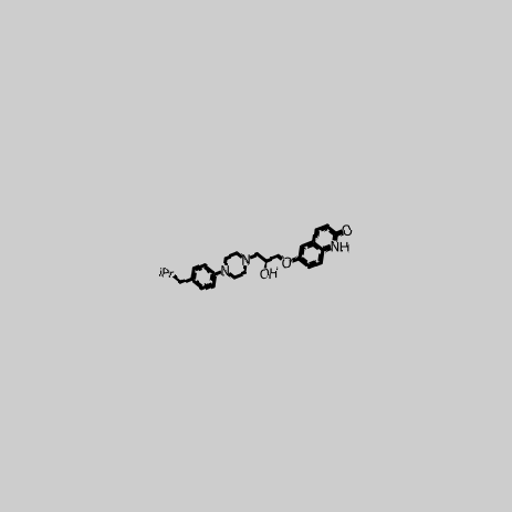 CC(C)Cc1ccc(N2CCN(C[C@H](O)COc3ccc4[nH]c(=O)ccc4c3)CC2)cc1